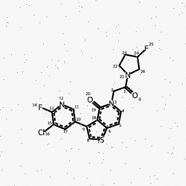 O=C(Cn1ccc2scc(-c3cnc(F)c(Cl)c3)c2c1=O)N1CCC(F)C1